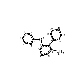 Cc1cccc(Oc2ccccc2)c1-c1ccccc1